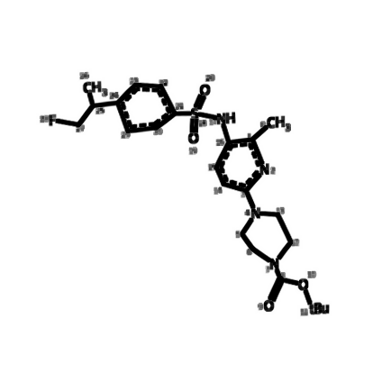 Cc1nc(N2CCN(C(=O)OC(C)(C)C)CC2)ccc1NS(=O)(=O)c1ccc(C(C)CF)cc1